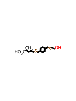 C=C(CCCSCC1=CCC(=CSCCO)C=C1)C(=O)O